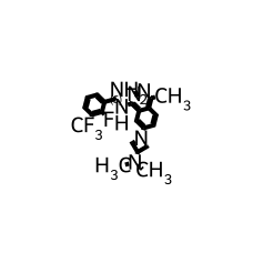 Cc1nnc(N[C@H](N)c2cccc(C(F)(F)F)c2F)c2cc(N3CC(N(C)C)C3)ccc12